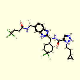 C[C@@H](NC(=O)CCC(F)(F)F)c1ccc2nc([C@@H](NC(=O)c3cnnn3CCC3CC3)C3CCC(F)(F)CC3)[nH]c2c1